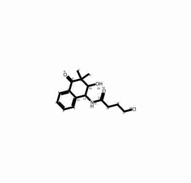 CC1(C)C(=O)c2ccccc2C(NC(=O)CCCCl)C1O